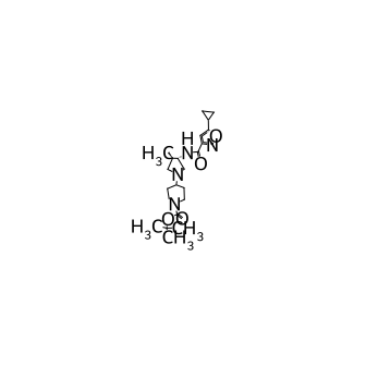 C[C@@H]1CN(C2CCN(C(=O)OC(C)(C)C)CC2)C[C@H]1NC(=O)c1cc(C2CC2)on1